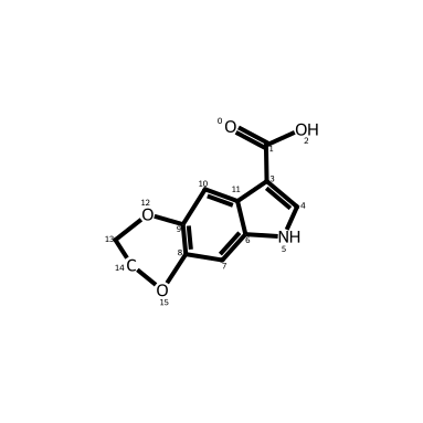 O=C(O)c1c[nH]c2cc3c(cc12)OCCO3